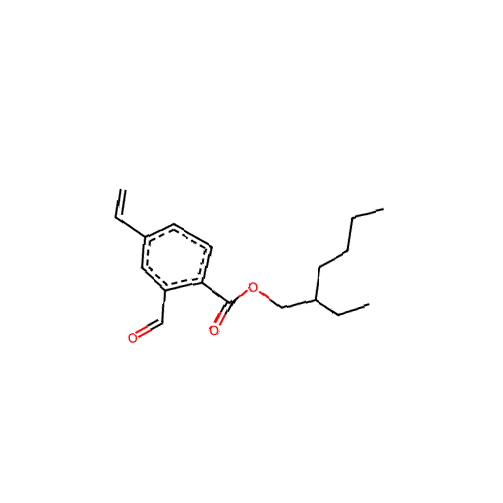 C=Cc1ccc(C(=O)OCC(CC)CCCC)c(C=O)c1